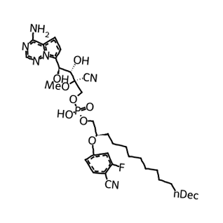 CCCCCCCCCCCCCCCCCCC[C@H](COP(=O)(O)OC[C@@](C#N)(OC)[C@@H](O)[C@@H](O)c1ccc2c(N)ncnn12)Oc1ccc(C#N)c(F)c1